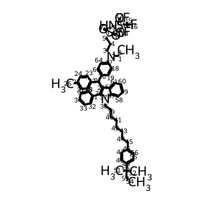 CCN(CCCS(=O)(=O)NS(=O)(=O)C(F)(F)F)c1ccc(C(c2ccc(C)cc2)c2c(-c3ccccc3)n(CCCCCCCCc3ccc(C(C)(C)CC)cc3)c3ccccc23)cc1